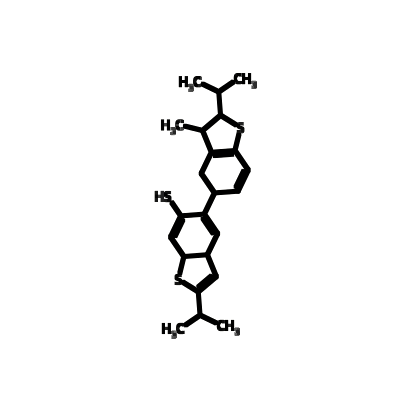 CC(C)C1=CC2C=C(C3C=CC4=C(C3)C(C)C(C(C)C)S4)C(S)=CC2S1